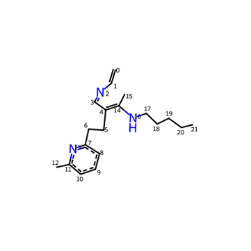 C=C/N=C\C(CCc1cccc(C)n1)=C(/C)NCCCCC